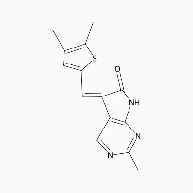 Cc1ncc2c(n1)NC(=O)C2=Cc1cc(C)c(C)s1